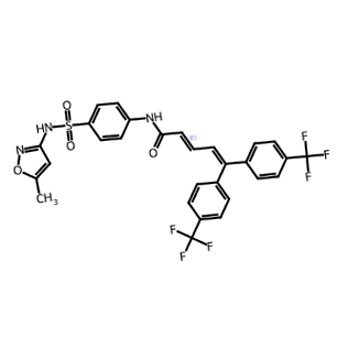 Cc1cc(NS(=O)(=O)c2ccc(NC(=O)/C=C/C=C(c3ccc(C(F)(F)F)cc3)c3ccc(C(F)(F)F)cc3)cc2)no1